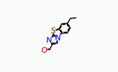 CCc1ccc2c(c1)sc1nc(C=O)cn12